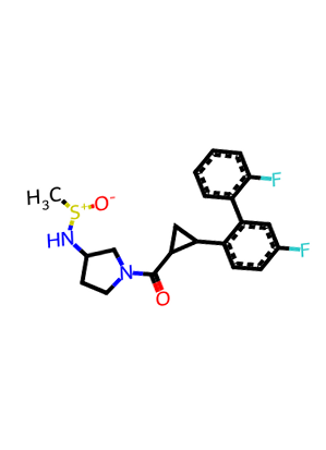 C[S+]([O-])NC1CCN(C(=O)C2CC2c2ccc(F)cc2-c2ccccc2F)C1